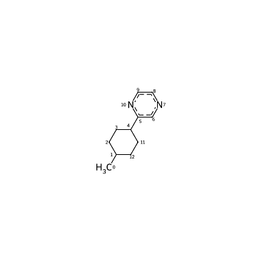 CC1CCC(c2cnccn2)CC1